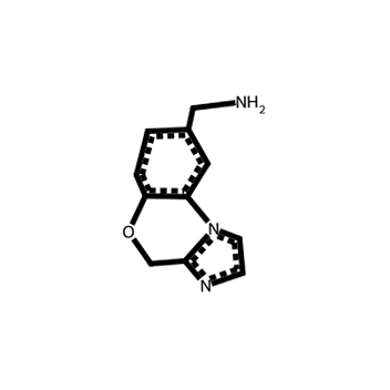 NCc1ccc2c(c1)-n1ccnc1CO2